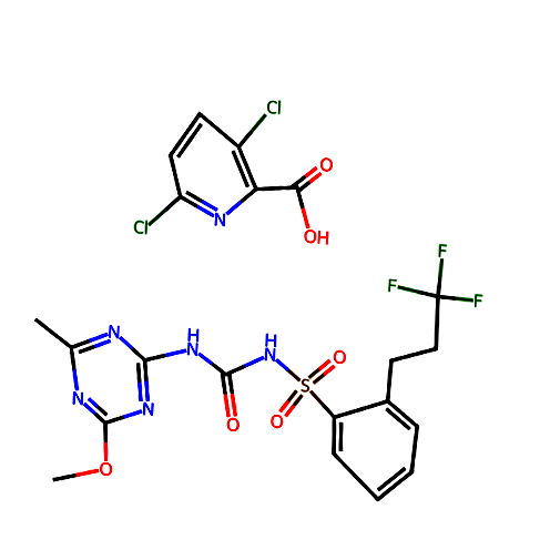 COc1nc(C)nc(NC(=O)NS(=O)(=O)c2ccccc2CCC(F)(F)F)n1.O=C(O)c1nc(Cl)ccc1Cl